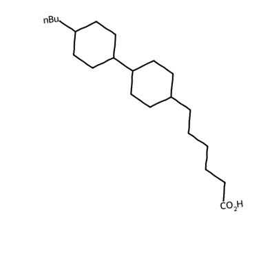 CCCCC1CCC(C2CCC(CCCCCC(=O)O)CC2)CC1